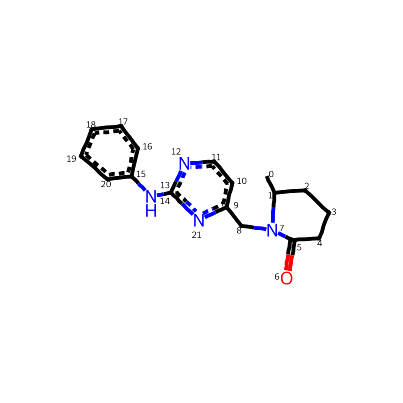 CC1CCCC(=O)N1Cc1ccnc(Nc2ccccc2)n1